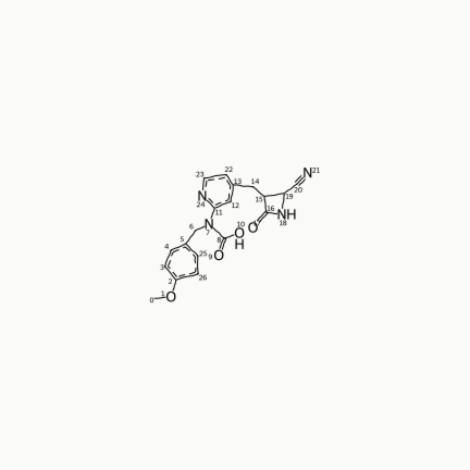 COc1ccc(CN(C(=O)O)c2cc(CC3C(=O)NC3C#N)ccn2)cc1